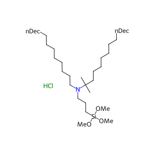 CCCCCCCCCCCCCCCCCCN(CCC[Si](OC)(OC)OC)C(C)(C)CCCCCCCCCCCCCCCCC.Cl